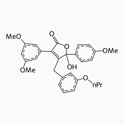 CCCOc1cccc(CC2=C(c3cc(OC)cc(OC)c3)C(=O)OC2(O)c2ccc(OC)cc2)c1